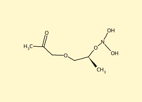 CC(=O)COC[C@H](C)ON(O)O